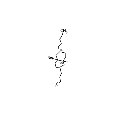 CCCCC[C@@H]1CC[C@@H]2CC(CCCC)CCC2(C#N)C1